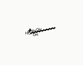 CCCCCCCCCCCCC(O)C=CC(O)C(CO)NC(C)=O